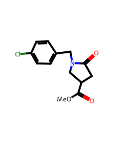 COC(=O)C1CC(=O)N(Cc2ccc(Cl)cc2)C1